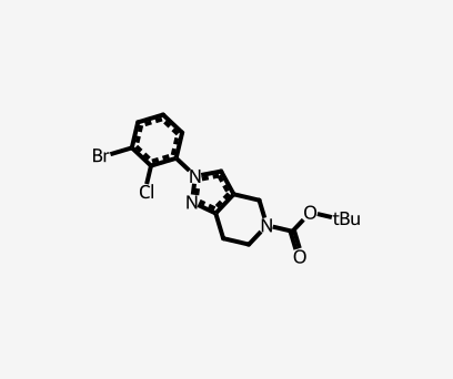 CC(C)(C)OC(=O)N1CCc2nn(-c3cccc(Br)c3Cl)cc2C1